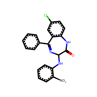 O=C1Nc2ccc(Cl)cc2C(c2ccccc2)=NC1Nc1ccccc1[N+](=O)[O-]